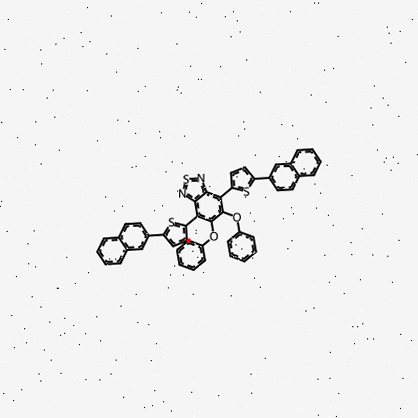 c1ccc(Oc2c(Oc3ccccc3)c(-c3ccc(-c4ccc5ccccc5c4)s3)c3nsnc3c2-c2ccc(-c3ccc4ccccc4c3)s2)cc1